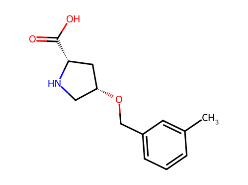 Cc1cccc(CO[C@@H]2CN[C@H](C(=O)O)C2)c1